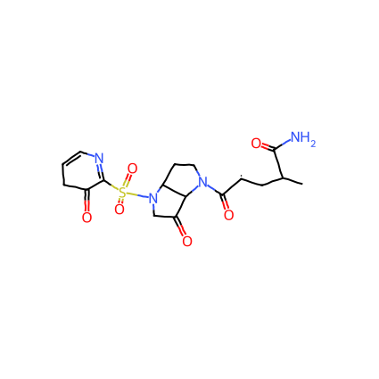 CC(C[CH]C(=O)N1CCC2C1C(=O)CN2S(=O)(=O)C1=NC=CCC1=O)C(N)=O